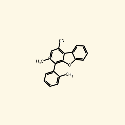 Cc1ccccc1-c1c2oc3ccccc3c2c(C#N)c[n+]1C